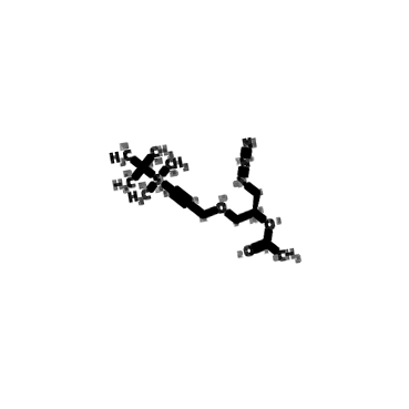 CC(=O)O[C@H](CN=[N+]=[N-])COCC#C[Si](C)(C)C(C)(C)C